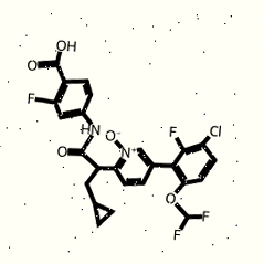 O=C(O)c1ccc(NC(=O)C(CC2CC2)c2ccc(-c3c(OC(F)F)ccc(Cl)c3F)c[n+]2[O-])cc1F